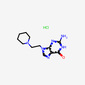 Cl.Nc1nc2c(ncn2CCN2CCCCC2)c(=O)[nH]1